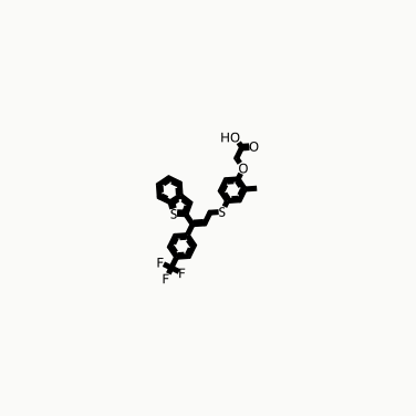 Cc1cc(SC/C=C(/c2ccc(C(F)(F)F)cc2)c2cc3ccccc3s2)ccc1OCC(=O)O